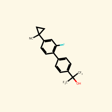 N#CC1(c2ccc(-c3ccc(C(O)(C(F)(F)F)C(F)(F)F)cc3)c(F)c2)CC1